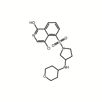 O=S(=O)(c1cccc2c(O)ncc(Cl)c12)N1CCC(NC2CCOCC2)C1